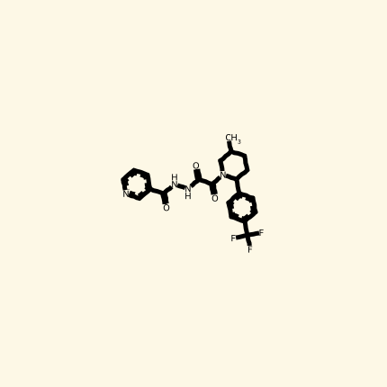 CC1CCC(c2ccc(C(F)(F)F)cc2)N(C(=O)C(=O)NNC(=O)c2cccnc2)C1